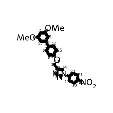 COc1cc(OC)cc(-c2ccc(OCc3cn(-c4ccc([N+](=O)[O-])cc4)nn3)cc2)c1